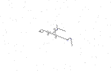 CCCCC/C=C\C/C=C\CCCCCCCC(=O)OCC(COC(=O)/C=C(\CCC)CCCCCC)COC(=O)OCCC1CCN(C)CC1